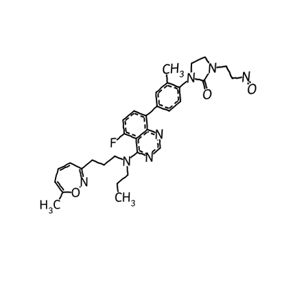 CCCN(CCCC1=NOC(C)=CC=C1)c1ncnc2c(-c3ccc(N4CCN(CCN=O)C4=O)c(C)c3)ccc(F)c12